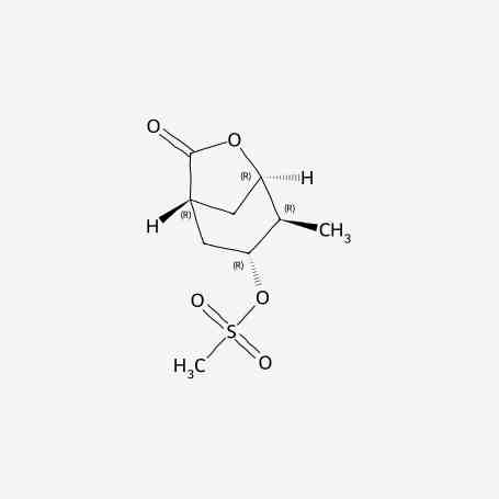 C[C@@H]1[C@H]2C[C@H](C[C@H]1OS(C)(=O)=O)C(=O)O2